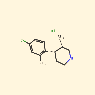 Cc1cc(Cl)ccc1[C@H]1CCNC[C@H]1C.Cl